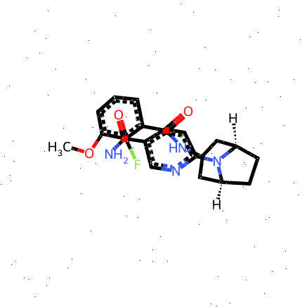 COc1cccc(C(=O)N[C@H]2C[C@H]3CC[C@@H](C2)N3c2ccc(C(N)=O)cn2)c1F